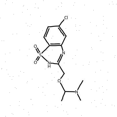 CC(OCC1=Nc2cc(Cl)ccc2S(=O)(=O)N1)N(C)C